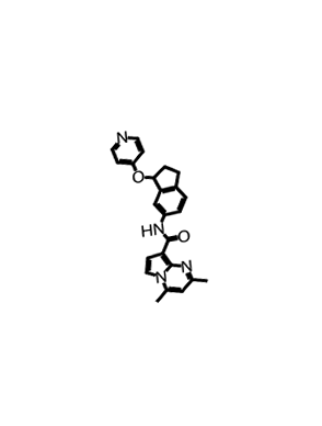 Cc1cc(C)n2ccc(C(=O)Nc3ccc4c(c3)C(Oc3ccncc3)CC4)c2n1